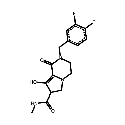 CNC(=O)C1CN2CCN(Cc3ccc(F)c(F)c3)C(=O)C2=C1O